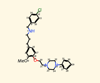 COc1cc(CCCNCc2ccc(Cl)cc2)ccc1OCCN1CCN(c2ccccc2)CC1